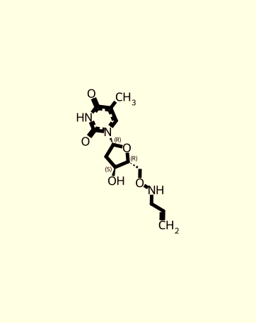 C=CCNOC[C@H]1O[C@@H](n2cc(C)c(=O)[nH]c2=O)C[C@@H]1O